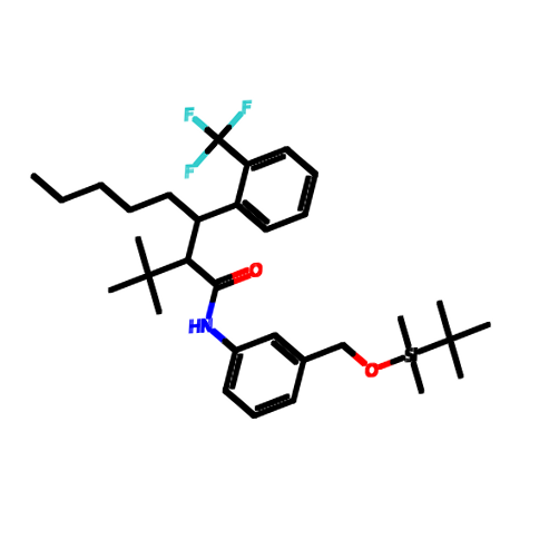 CCCCCC(c1ccccc1C(F)(F)F)C(C(=O)Nc1cccc(CO[Si](C)(C)C(C)(C)C)c1)C(C)(C)C